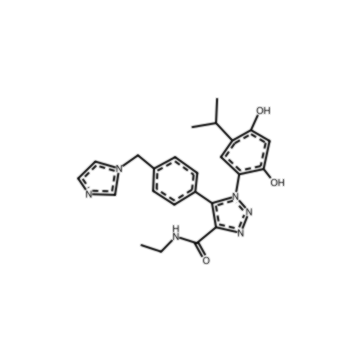 CCNC(=O)c1nnn(-c2cc(C(C)C)c(O)cc2O)c1-c1ccc(Cn2ccnc2)cc1